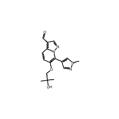 Cn1cc(-c2c(OCC(C)(C)O)ccc3c(C=O)cnn23)cn1